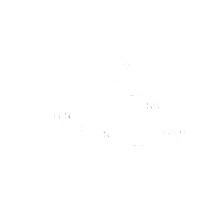 NC1CCN(c2ccc(C(=O)O)c(NC3CCOCC3)c2)C1